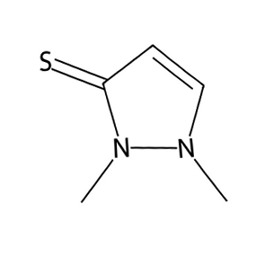 Cn1ccc(=S)n1C